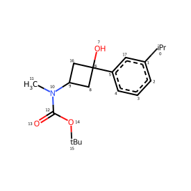 CC(C)c1cccc(C2(O)CC(N(C)C(=O)OC(C)(C)C)C2)c1